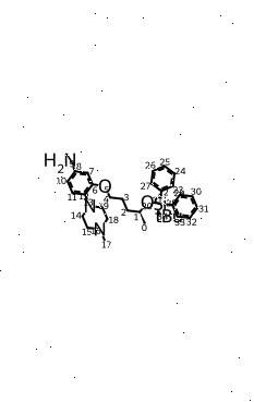 C[C@@H](CCCOc1cc(N)ccc1N1CCN(C)CC1)O[Si](c1ccccc1)(c1ccccc1)C(C)(C)C